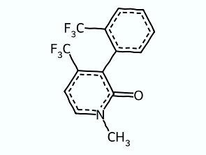 Cn1ccc(C(F)(F)F)c(-c2ccccc2C(F)(F)F)c1=O